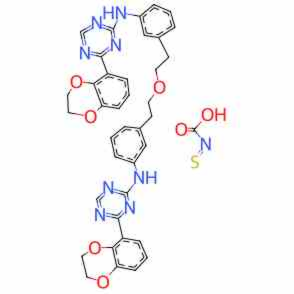 O=C(O)N=S.c1cc(CCOCCc2cccc(Nc3ncnc(-c4cccc5c4OCCO5)n3)c2)cc(Nc2ncnc(-c3cccc4c3OCCO4)n2)c1